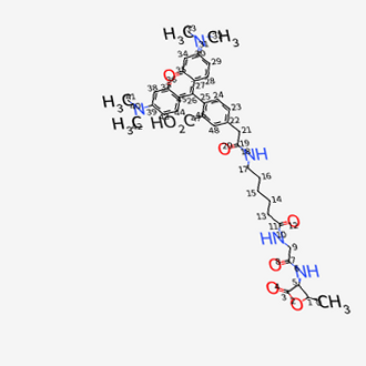 C[C@H]1OC(=O)[C@H]1NC(=O)CNC(=O)CCCCCNC(=O)Cc1ccc(-c2c3ccc(=[N+](C)C)cc-3oc3cc(N(C)C)ccc23)c(C(=O)O)c1